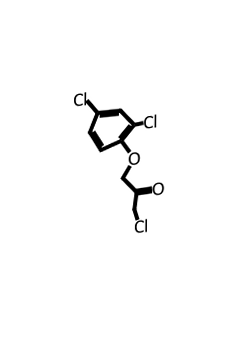 O=C(CCl)COc1ccc(Cl)cc1Cl